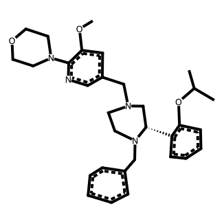 COc1cc(CN2CCN(Cc3ccccc3)[C@@H](c3ccccc3OC(C)C)C2)cnc1N1CCOCC1